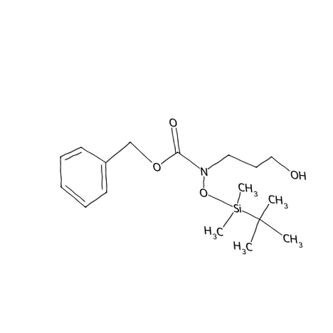 CC(C)(C)[Si](C)(C)ON(CCCO)C(=O)OCc1ccccc1